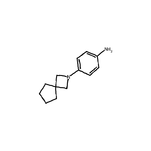 Nc1ccc(N2CC3(CCCC3)C2)cc1